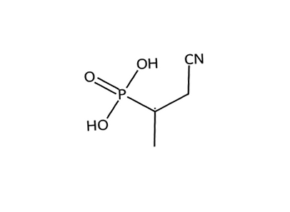 C[C](CC#N)P(=O)(O)O